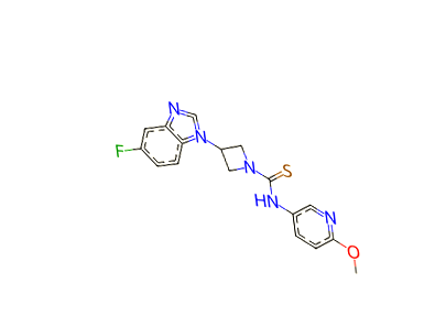 COc1ccc(NC(=S)N2CC(n3cnc4cc(F)ccc43)C2)cn1